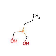 CCCP(CO)CO